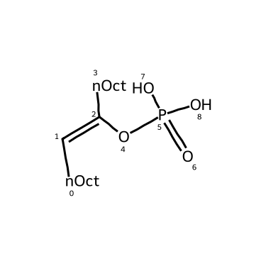 CCCCCCCCC=C(CCCCCCCC)OP(=O)(O)O